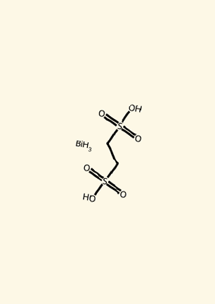 O=S(=O)(O)CCS(=O)(=O)O.[BiH3]